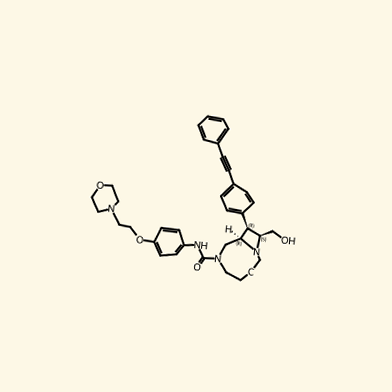 O=C(Nc1ccc(OCCN2CCOCC2)cc1)N1CCCCN2[C@H](CO)[C@H](c3ccc(C#Cc4ccccc4)cc3)[C@@H]2C1